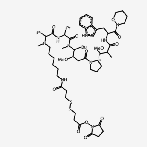 CCC(C)C(C(CC(=O)N1CCC[C@H]1C(OC)C(C)C(=O)NC(Cc1c[nH]c2ccccc12)C(=O)N1CCCCO1)OC)N(C)C(=O)C(NC(=O)C(C(C)C)N(C)CCCCCCNC(=O)CCSSCCC(=O)ON1C(=O)CCC1=O)C(C)C